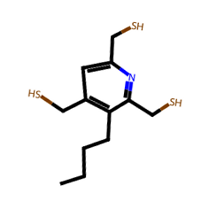 CCCCc1c(CS)cc(CS)nc1CS